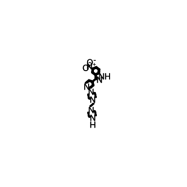 O=[N+]([O-])c1ccc2[nH]nc(-c3ccnc(N4CCN(CCN5CCNCC5)CC4)c3)c2c1